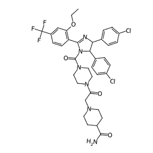 CCOc1cc(C(F)(F)F)ccc1C1=NC(c2ccc(Cl)cc2)C(c2ccc(Cl)cc2)N1C(=O)N1CCN(C(=O)CN2CCC(C(N)=O)CC2)CC1